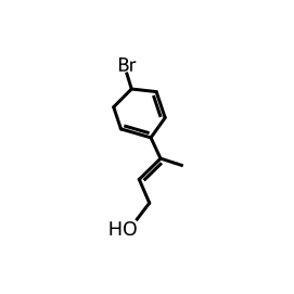 C/C(=C\CO)C1=CCC(Br)C=C1